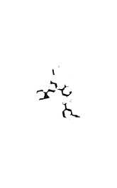 Cc1ncc(NC(=O)c2ccnc(C(F)(F)F)c2)cc1-c1cc(OCCO)nc(C23CCOCC2C3)c1